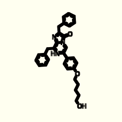 O=c1c(Cc2ccccc2)nc2c(Cc3ccccc3)[nH]c(-c3ccc(OCCCCCO)cc3)cn1-2